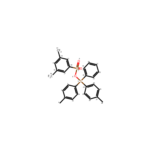 Cc1ccc(S(OS(=O)(=O)c2cc(C(F)(F)F)cc(C(F)(F)F)c2)(c2ccccc2)c2ccc(C)cc2)cc1